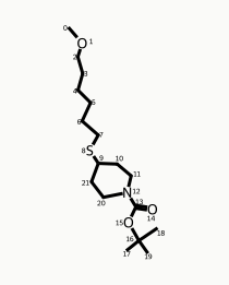 COCCCCCCSC1CCN(C(=O)OC(C)(C)C)CC1